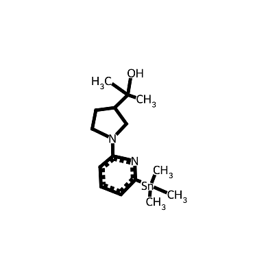 CC(C)(O)C1CCN(c2ccc[c]([Sn]([CH3])([CH3])[CH3])n2)C1